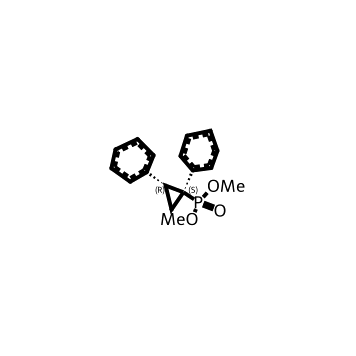 COP(=O)(OC)[C@@]1(c2ccccc2)C[C@@H]1c1ccccc1